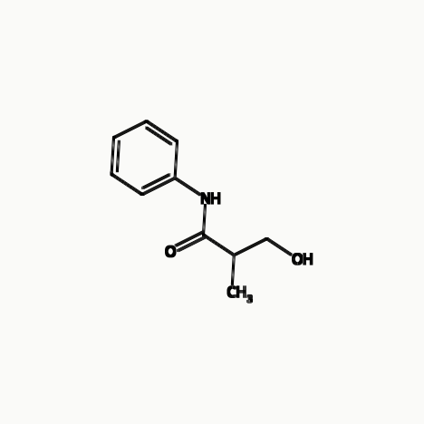 CC(CO)C(=O)Nc1ccccc1